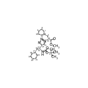 COC(=O)[C@H](Cc1ccccc1)n1cc([C@H](Cc2ccccc2)NC(=O)OC(C)(C)C)nn1